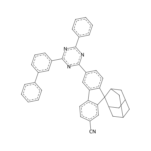 N#Cc1ccc2c(c1)C1(c3ccc(-c4nc(-c5ccccc5)nc(-c5cccc(-c6ccccc6)c5)n4)cc3-2)C2CC3CC(C2)CC1C3